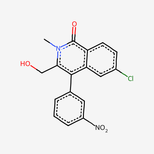 Cn1c(CO)c(-c2cccc([N+](=O)[O-])c2)c2cc(Cl)ccc2c1=O